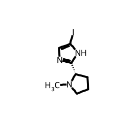 CN1CCC[C@H]1c1ncc(I)[nH]1